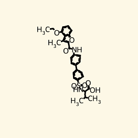 CCOc1cccc2oc(C(=O)Nc3ccc(-c4ccc(S(=O)(=O)NC(C(=O)O)C(C)C)cc4)cc3)c(C)c12